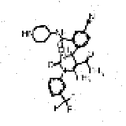 CC(=O)C1=C(C)N(c2cccc(C(F)(F)F)c2)C(=O)N(C)C1c1ccc(C#N)cc1C(=O)NC1CCNCC1